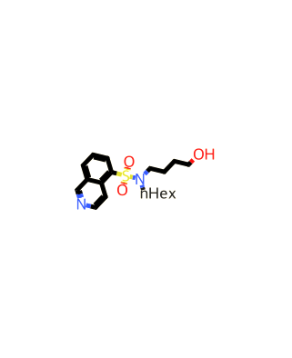 CCCCCCN(CCCCO)S(=O)(=O)c1cccc2cnccc12